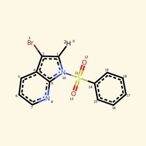 [2H]c1c(Br)c2cccnc2n1S(=O)(=O)c1ccccc1